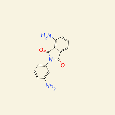 Nc1cccc(N2C(=O)c3cccc(N)c3C2=O)c1